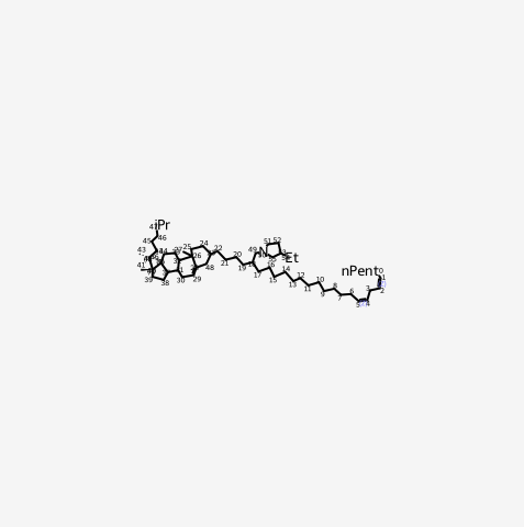 CCCCC/C=C\C/C=C\CCCCCCCCCCCCC(CCCCC1CCC2(C)C(=CCC3C2CC[C@@]2(C)C3CC[C@]2(C)[C@H](C)CCCC(C)C)C1)CN1CCC(CC)C1